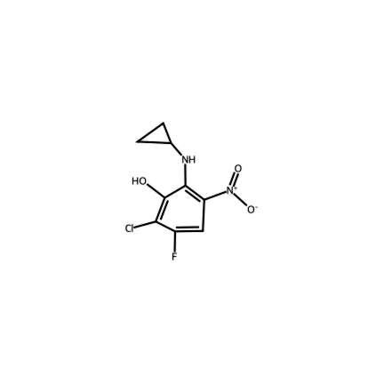 O=[N+]([O-])c1cc(F)c(Cl)c(O)c1NC1CC1